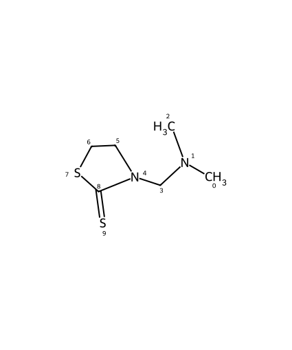 CN(C)CN1CCSC1=S